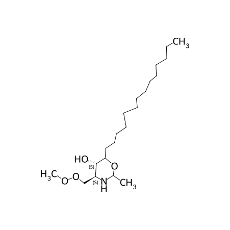 CCCCCCCCCCCCCCC1OC(C)N[C@@H](COOC)[C@@H]1O